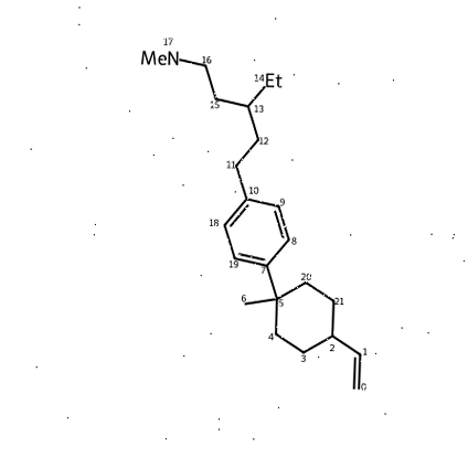 C=CC1CCC(C)(c2ccc(CCC(CC)CCNC)cc2)CC1